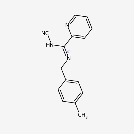 Cc1ccc(C/N=C(\NC#N)c2ccccn2)cc1